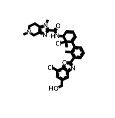 Cc1c(C2=CC=CC(NC(=O)c3nc4c(n3C)CCN(C)C4)C2(C)Cl)cccc1-c1nc2cc(CO)cc(Cl)c2o1